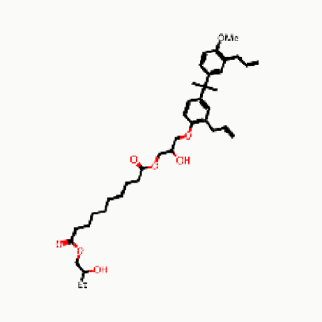 C=CCc1cc(C(C)(C)c2ccc(OCC(O)COC(=O)CCCCCCCCC(=O)OCC(O)CC)c(CC=C)c2)ccc1OC